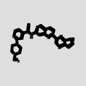 CN1CCN(c2cc(C(=O)Nc3cc4nc(-c5cnc6cc[nH]c6n5)ccc4cn3)ccn2)CC1